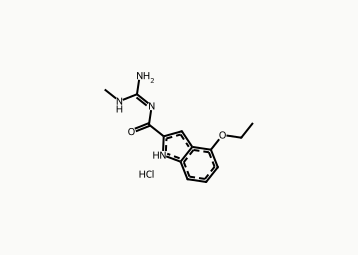 CCOc1cccc2[nH]c(C(=O)N=C(N)NC)cc12.Cl